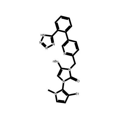 CCCCc1cn(-c2c(CC)ccn2C)c(=O)n1Cc1ccc(-c2ccccc2-c2nnn[nH]2)cn1